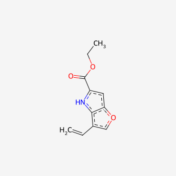 C=Cc1coc2cc(C(=O)OCC)[nH]c12